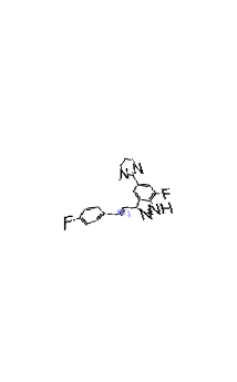 CN1CCCN=C1c1cc(F)c2[nH]nc(/C=C/c3ccc(F)cc3)c2c1